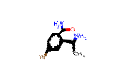 CC(N)c1cc(Br)ccc1C(N)=O